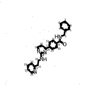 O=C(NCc1ccccc1)c1ccc(-c2ccnc(NCCc3ccccn3)n2)cc1